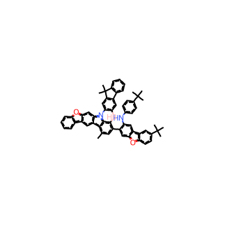 Cc1cc(-c2cc3oc4ccc(C(C)(C)C)cc4c3cc2Nc2ccc(C(C)(C)C)cc2)c2c3c1c1cc4c(cc1n3-c1cc3c(cc1B2)-c1ccccc1C3(C)C)oc1ccccc14